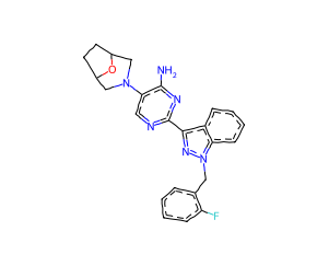 Nc1nc(-c2nn(Cc3ccccc3F)c3ccccc23)ncc1N1CC2CCC(C1)O2